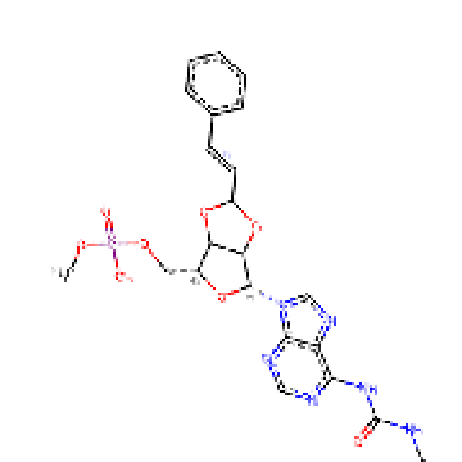 CCNC(=O)Nc1ncnc2c1ncn2[C@@H]1O[C@H](COP(=O)(O)OC)C2OC(/C=C/c3ccccc3)OC21